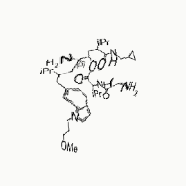 COCCCn1ccc2ccc(CC(C[C@H](N)C(CC(C(=O)NCC3CC3)C(C)C)OC(=O)C(NC(=O)CN)C(C)C)C(C)C)cc21